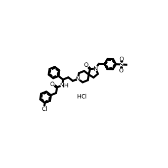 CS(=O)(=O)c1ccc(CN2CCC3(CCN(CCC(NC(=O)Cc4cccc(Cl)c4)c4ccccc4)CC3)C2=O)cc1.Cl